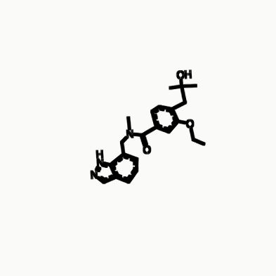 CCOc1cc(C(=O)N(C)Cc2cccc3cn[nH]c23)ccc1CC(C)(C)O